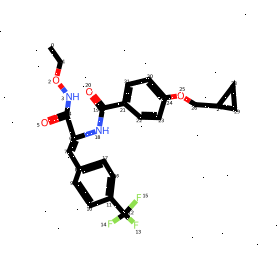 CCONC(=O)C(=Cc1ccc(C(F)(F)F)cc1)NC(=O)c1ccc(OCC2CC2)cc1